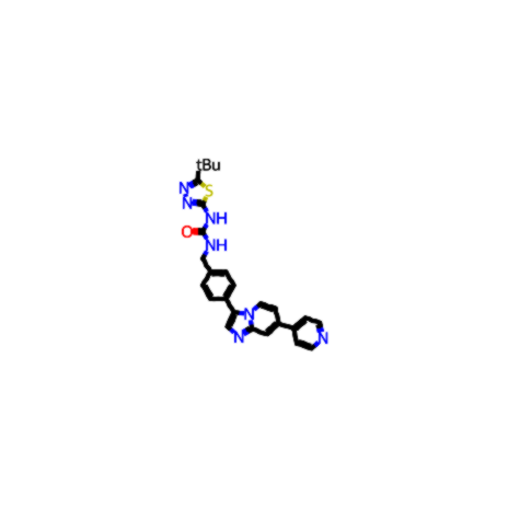 CC(C)(C)c1nnc(NC(=O)NCc2ccc(-c3cnc4cc(-c5ccncc5)ccn34)cc2)s1